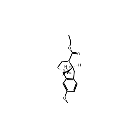 CCOC(=O)N1CC[C@@]23CCCC[C@@H]2[C@@H]1Cc1ccc(OC)cc13